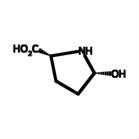 O=C(O)[C@H]1CC[C@@H](O)N1